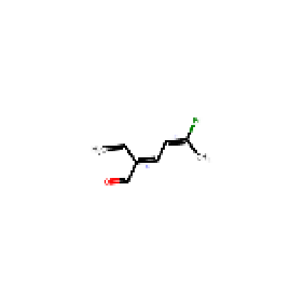 C=C/C(C=O)=C\C=C(/C)Br